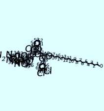 CCCCCCCCCCCCCCCCCCOC[C@H](COP(=O)(OC[C@H]1O[C@@](C#N)(c2ccc3c(N)ncnn23)[C@@H]2OC(C)(C)O[C@@H]21)Oc1ccccc1Cl)OCc1ccc(Cl)c(Cl)c1